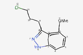 COc1cccc2[nH]nc(CCCCl)c12